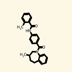 Cc1ccccc1C(=O)Nc1ccc(C(=O)N2CC(C)CCc3ccccc32)cc1